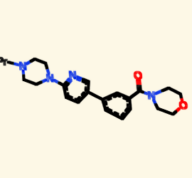 CC(C)N1CCN(c2ccc(-c3cccc(C(=O)N4CCOCC4)c3)cn2)CC1